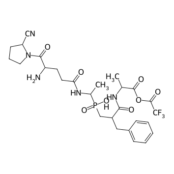 CC(NC(=O)C(Cc1ccccc1)CP(=O)(O)C(C)NC(=O)CCC(N)C(=O)N1CCCC1C#N)C(=O)OC(=O)C(F)(F)F